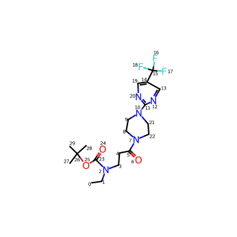 CCN(CCC(=O)N1CCN(c2ncc(C(F)(F)F)cn2)CC1)C(=O)OC(C)(C)C